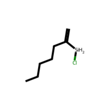 C=C(CCCCC)[SiH2]Cl